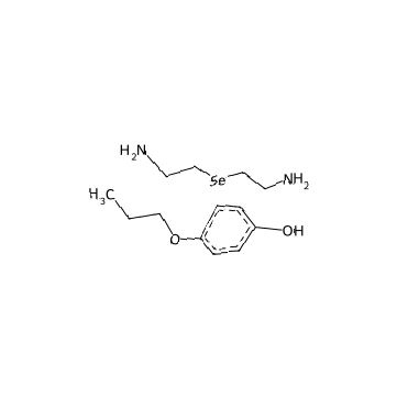 CCCOc1ccc(O)cc1.NCC[Se]CCN